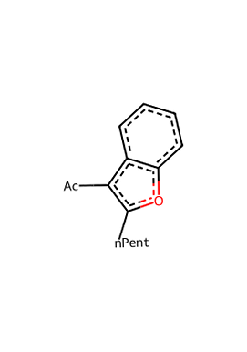 CCCCCc1oc2ccccc2c1C(C)=O